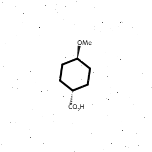 CO[C@H]1CC[C@H](C(=O)O)CC1